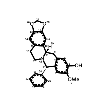 COc1cc2c(cc1O)C[C@H]1c3cc4c(cc3CCN1[C@H]2c1ccccc1)OCO4